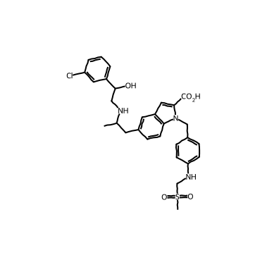 CC(Cc1ccc2c(c1)cc(C(=O)O)n2Cc1ccc(NCS(C)(=O)=O)cc1)NCC(O)c1cccc(Cl)c1